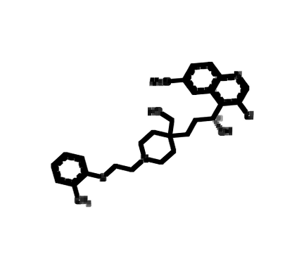 COc1ccc2ncc(Cl)c([C@H](O)CCC3(CO)CCN(CCSc4ccccc4C)CC3)c2c1